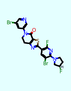 O=C1c2sc(-c3cc(Br)c(N4CC[C@@H](F)C4)nc3F)nc2CCN1c1cncc(Br)c1